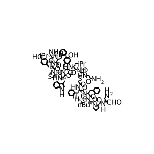 CCCC[C@@H](C(=O)N1CCC[C@@H]1C(=O)N[C@H](C=O)CN)N(C)C(=O)C(Cc1ccccc1)N(C)C(=O)[C@H](Cc1ccccc1)NC(=O)CSC[C@H](NC(=O)[C@H](CC(C)C)NC(=O)[C@H](Cc1ccc(O)cc1)NC(=O)[C@H](Cc1c[nH]c2ccccc12)NC(=O)[C@H]1CSCN1C(=O)[C@H](Cc1ccc(O)cc1)NC(=O)C(Cc1ccccc1)N(C)C(=O)[C@@H](N)C(C)C)C(=O)NCC(N)=O